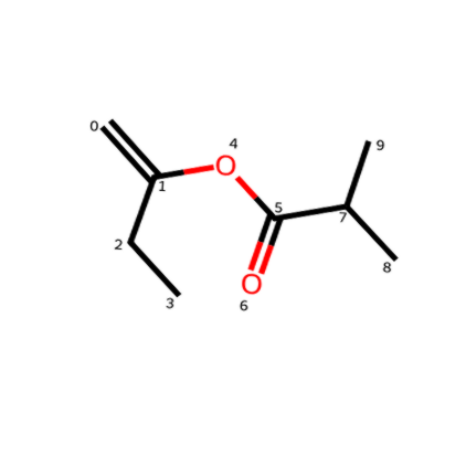 C=C(CC)OC(=O)C(C)C